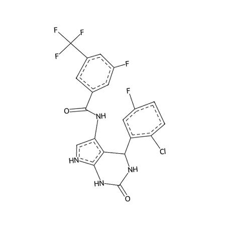 O=C1Nc2[nH]cc(NC(=O)c3cc(F)cc(C(F)(F)F)c3)c2C(c2cc(F)ccc2Cl)N1